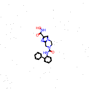 O=C(NO)c1cn2c(n1)CN(C(=O)Nc1ccccc1-c1ccccc1)CC2